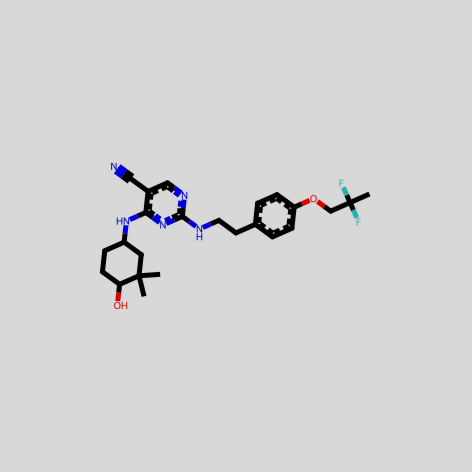 CC(F)(F)COc1ccc(CCNc2ncc(C#N)c(NC3CCC(O)C(C)(C)C3)n2)cc1